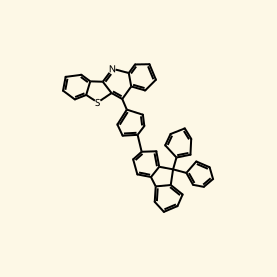 c1ccc(C2(c3ccccc3)c3ccccc3-c3ccc(-c4ccc(-c5c6ccccc6nc6c5sc5ccccc56)cc4)cc32)cc1